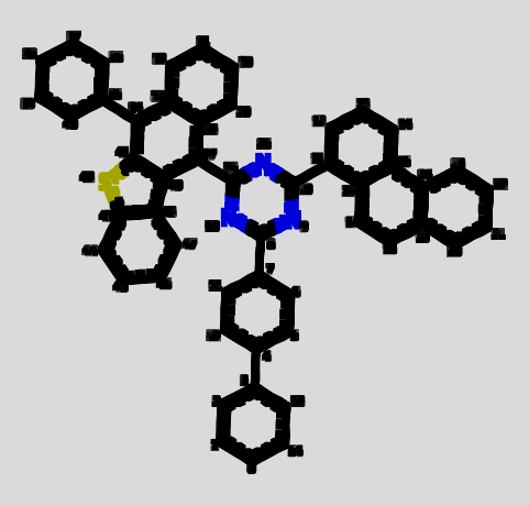 c1ccc(-c2ccc(-c3nc(-c4cccc5c4ccc4ccccc45)nc(-c4c5ccccc5c(-c5ccccc5)c5sc6ccccc6c45)n3)cc2)cc1